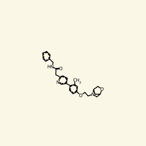 Cc1cc(OCCN2CC3CC2CO3)ccc1-c1ccc(CC(=O)NCc2ccccc2)nc1